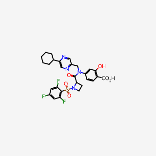 O=C(O)c1ccc(N(Cc2cnc(C3CCCCC3)cn2)C(=O)C2CCN2S(=O)(=O)c2c(F)cc(F)cc2F)cc1O